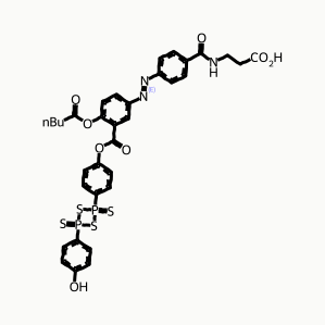 CCCCC(=O)Oc1ccc(/N=N/c2ccc(C(=O)NCCC(=O)O)cc2)cc1C(=O)Oc1ccc(P2(=S)SP(=S)(c3ccc(O)cc3)S2)cc1